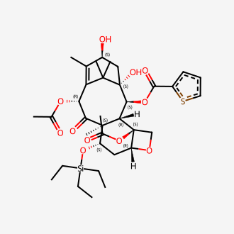 CC[Si](CC)(CC)O[C@H]1C[C@H]2OC[C@@]2(OC(C)=O)[C@H]2[C@H](OC(=O)c3cccs3)[C@]3(O)C[C@H](O)C(C)=C([C@@H](OC(C)=O)C(=O)[C@]12C)C3(C)C